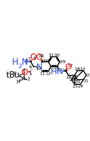 CC(C)(C)[Si](C)(C)OC[C@H](C(N)=O)n1ccc2c(NC(=O)CC34CC5CC(CC(C5)C3)C4)cccc2c1=O